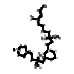 CN(CCOCC(C)(C)CCN1CCCC(CC(C)(C)CCN2CCNCC2)C1)CCC(C)(C)C